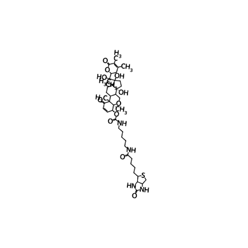 CC1=C(C)C(=O)OC([C@](C)(O)[C@]2(O)CC[C@@]3(O)C4CO[C@@]5(C)[C@@H](OC(=O)NCCCCCNC(=O)CCCCC6SCC7NC(=O)NC76)C=CC(=O)[C@]5(C)C4CC[C@]23C)C1